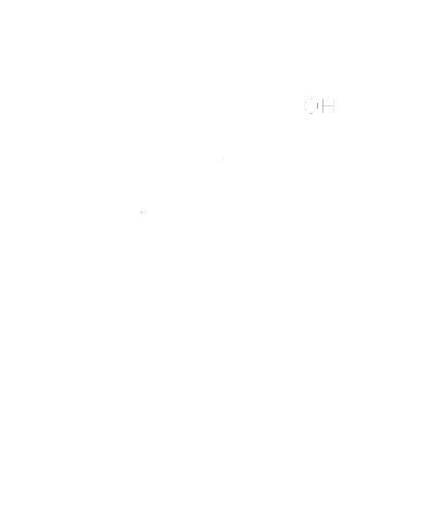 OC[CH]c1ccc2ccccc2c1